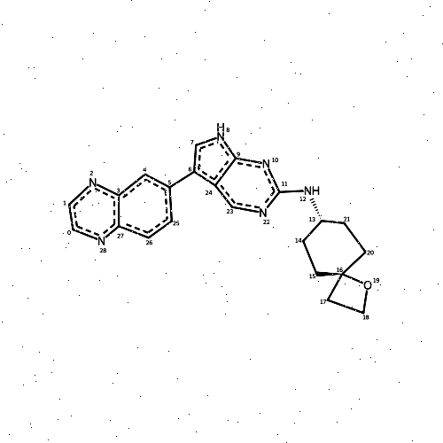 c1cnc2cc(-c3c[nH]c4nc(N[C@H]5CC[C@@]6(CCO6)CC5)ncc34)ccc2n1